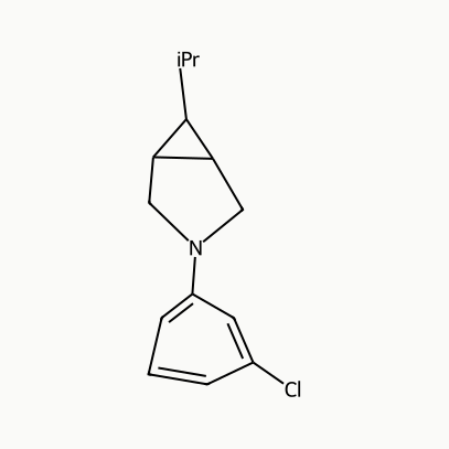 CC(C)C1C2CN(c3cccc(Cl)c3)CC21